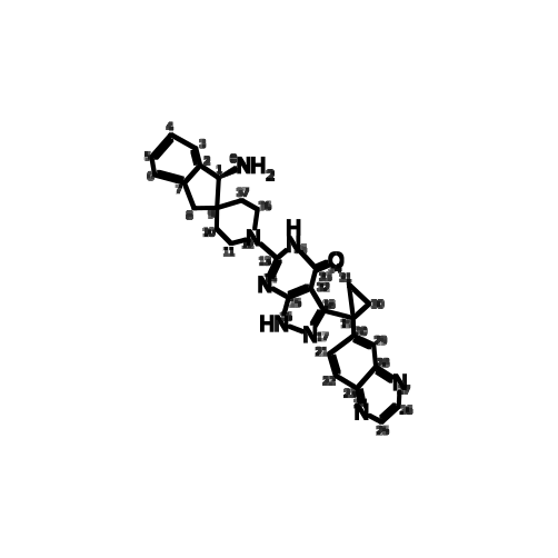 N[C@@H]1c2ccccc2CC12CCN(c1nc3[nH]nc(C4(c5ccc6nccnc6c5)CC4)c3c(=O)[nH]1)CC2